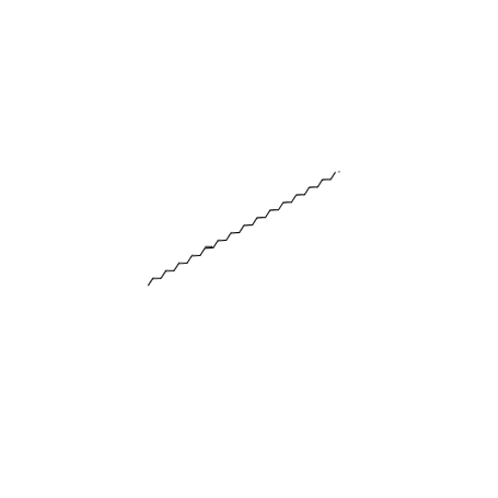 [CH2]CCCCCCCCCCCCCCCCCCC=CCCCCCCCCC